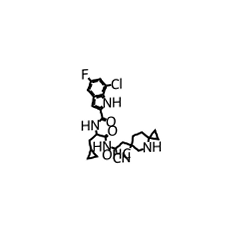 N#CC(CC1(C=O)CCC2(CC2)NC1)NC(=O)C(CC1CC1)NC(=O)c1cc2cc(F)cc(Cl)c2[nH]1